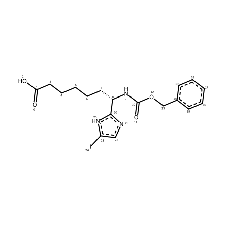 O=C(O)CCCCC[C@H](NC(=O)OCc1ccccc1)c1ncc(I)[nH]1